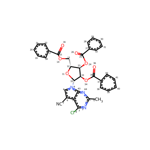 Cc1nc(Cl)c2c(C#N)cn([C@@H]3O[C@H](COC(=O)c4ccccc4)[C@@H](OC(=O)c4ccccc4)[C@H]3OC(=O)c3ccccc3)c2n1